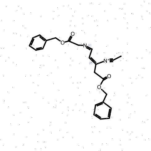 CC#[N+]/C(=C\C=N/CC(=O)OCc1ccccc1)CC(=O)OCc1ccccc1